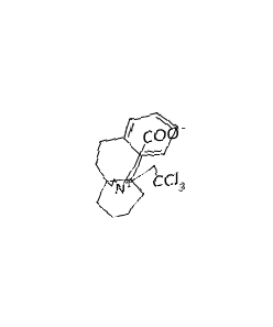 O=C([O-])[N+]1(CC(Cl)(Cl)Cl)CCC23CCCCC21c1ccccc1CC3